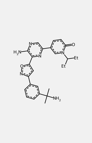 CCC(CC)n1cc(-c2cnc(N)c(-c3cc(-c4cccc(C(C)(C)N)c4)no3)n2)ccc1=O